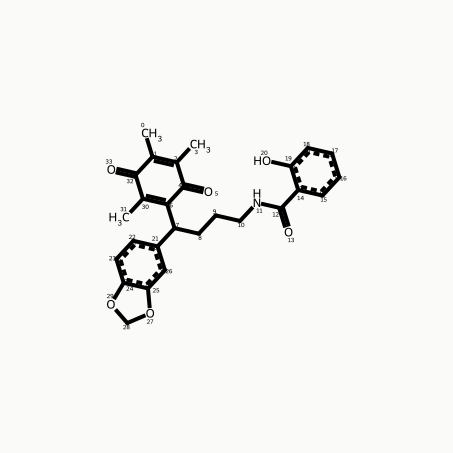 CC1=C(C)C(=O)C(C(CCCNC(=O)c2ccccc2O)c2ccc3c(c2)OCO3)=C(C)C1=O